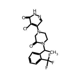 CC(c1ccccc1C(F)(F)F)N1CCN(c2cn[nH]c(=O)c2Cl)CC1=O